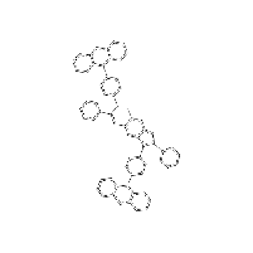 Cc1cc2cc(-c3ccccc3)n(-c3ccc(-c4c5ccccc5cc5ccccc45)cc3)c2cc1/C=C(\Cc1ccc(-c2c3ccccc3cc3ccccc23)cc1)c1ccccc1